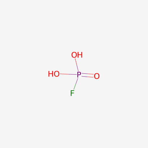 O=P(O)(O)F